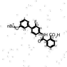 CCCCOc1cccc(-c2ccc(NC(=O)c3ccccc3C(=O)O)cc2F)c1